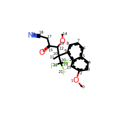 COc1ccc2cccc(C(C)(C(OC)C(=O)CC#N)C(F)(F)F)c2c1